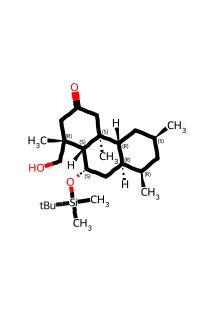 C[C@H]1C[C@@H](C)[C@H]2C[C@H](O[Si](C)(C)C(C)(C)C)[C@@H]3[C@](C)(CO)CC(=O)C[C@@]3(C)[C@@H]2C1